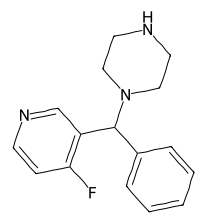 Fc1ccncc1C(c1ccccc1)N1CCNCC1